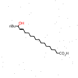 CCCCC(O)C=CCCCCCCCCCCCCCC(=O)O